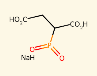 O=C(O)CC(C(=O)O)P(=O)=O.[NaH]